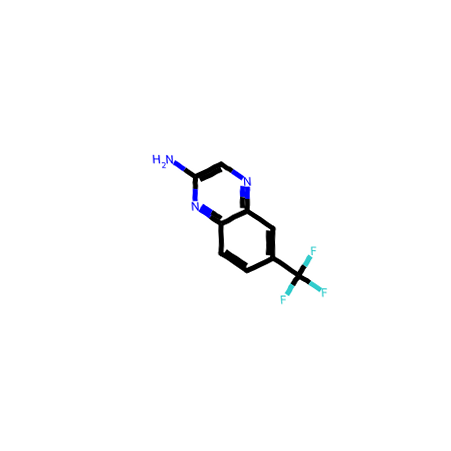 Nc1cnc2cc(C(F)(F)F)ccc2n1